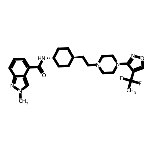 Cn1cc2c(C(=O)N[C@H]3CC[C@H](CCN4CCN(c5nocc5C(C)(F)F)CC4)CC3)cccc2n1